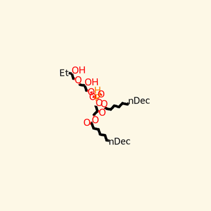 CCCCCCCCCCCCCCCC(=O)OCC(CO[PH](=O)OOCC(O)COCC(O)CC)OC(=O)CCCCCCCCCCCCCCC